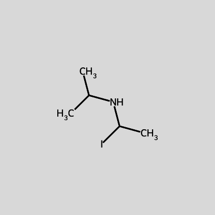 CC(C)NC(C)I